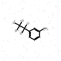 Nc1cccc(C(Cl)(Cl)C(Cl)(Cl)Cl)c1